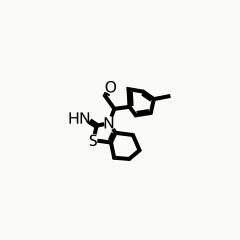 Cc1ccc(C(C=O)n2c3c(sc2=N)CCCC3)cc1